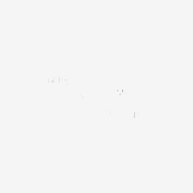 CCCCCCC[CH2][Mg][CH2]CCC.[Li][CH](C)CC